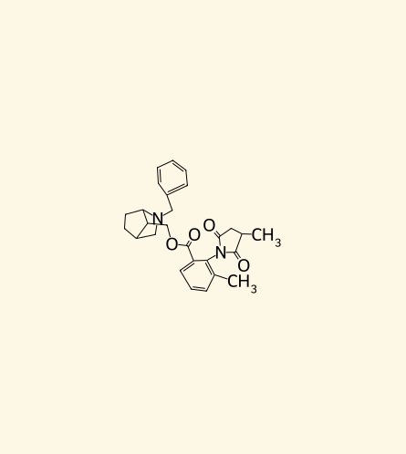 Cc1cccc(C(=O)OCC2C3CCC2N(Cc2ccccc2)C3)c1N1C(=O)CC(C)C1=O